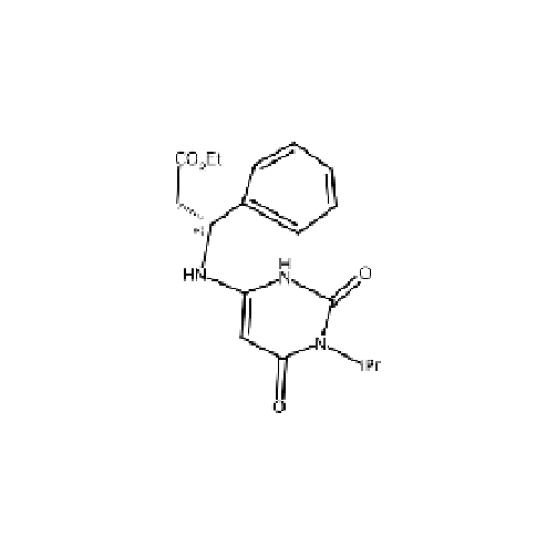 CCOC(=O)C[C@@H](Nc1cc(=O)n(C(C)C)c(=O)[nH]1)c1ccccc1